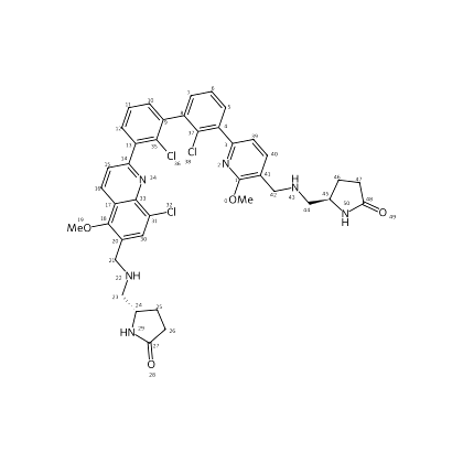 COc1nc(-c2cccc(-c3cccc(-c4ccc5c(OC)c(CNC[C@@H]6CCC(=O)N6)cc(Cl)c5n4)c3Cl)c2Cl)ccc1CNC[C@H]1CCC(=O)N1